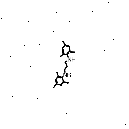 Cc1cc(C)c(NCCCNc2c(C)cc(C)cc2C)c(C)c1